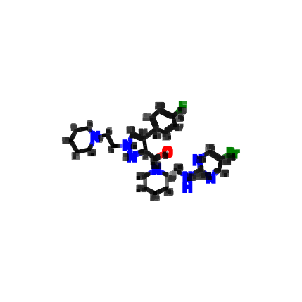 O=C(c1nn(CCN2CCCCC2)cc1-c1ccc(F)cc1)N1CCCC[C@H]1CNc1ncc(Br)cn1